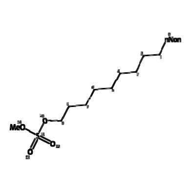 CCCCCCCCCCCCCCCCCCOS(=O)(=O)OC